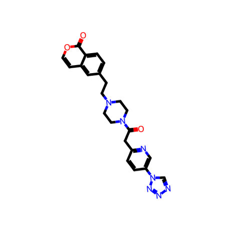 O=C(Cc1ccc(-n2cnnn2)cn1)N1CCN(CCc2ccc3c(=O)occc3c2)CC1